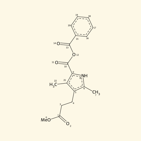 COC(=O)CCc1c(C)[nH]c(C(=O)OC(=O)c2ccccc2)c1C